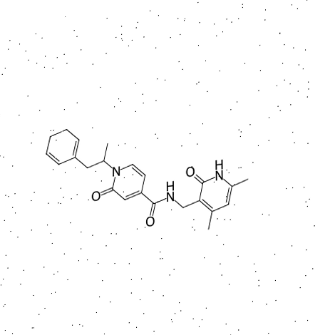 Cc1cc(C)c(CNC(=O)c2ccn(C(C)CC3=CCCC=C3)c(=O)c2)c(=O)[nH]1